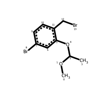 COC(C)Oc1cc(Br)ccc1CBr